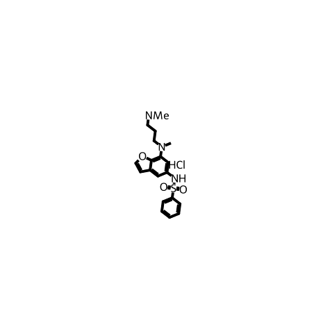 CNCCCN(C)c1cc(NS(=O)(=O)c2ccccc2)cc2ccoc12.Cl